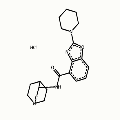 Cl.O=C(NC1CN2CCC1CC2)c1cccc2oc(N3CCCCC3)nc12